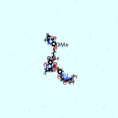 COc1cc2c(cc1OCCCCCOc1cc3c(cc1OC)C(=O)N1C=C(C)C[C@H]1[C@H](O)N3C(=O)OCc1ccc(NC(=O)[C@H](C)NC(=O)[C@@H](NC(=O)C(C)C)C(C)C)cc1)N=C[C@@H]1CC(C)=CN1C2=O